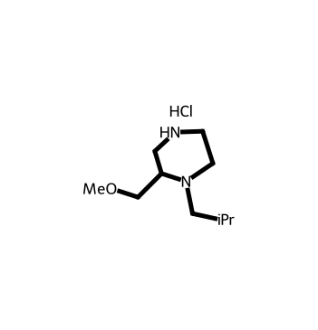 COCC1CNCCN1CC(C)C.Cl